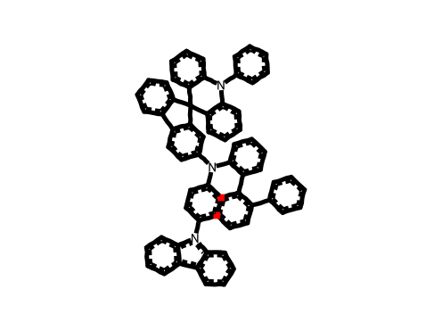 c1ccc(-c2ccccc2-c2ccccc2N(c2ccc(-n3c4ccccc4c4ccccc43)cc2)c2ccc3c(c2)C2(c4ccccc4-3)c3ccccc3N(c3ccccc3)c3ccccc32)cc1